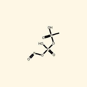 CP(=O)(O)OP(=O)(O)OP=O